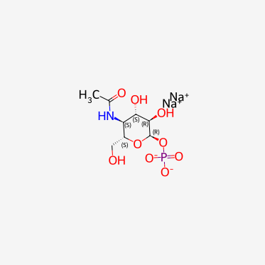 CC(=O)N[C@H]1[C@H](O)[C@@H](O)[C@@H](OP(=O)([O-])[O-])O[C@@H]1CO.[Na+].[Na+]